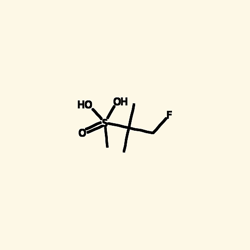 CC(C)(CF)S(C)(=O)(O)O